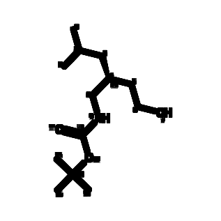 CC(C)C[C@@H](CCO)CNC(=O)OC(C)(C)C